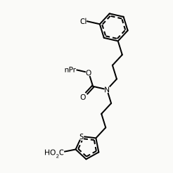 CCCOC(=O)N(CCCc1cccc(Cl)c1)CCCc1ccc(C(=O)O)s1